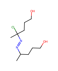 CC(CCCO)N=NC(C)(Cl)CCCO